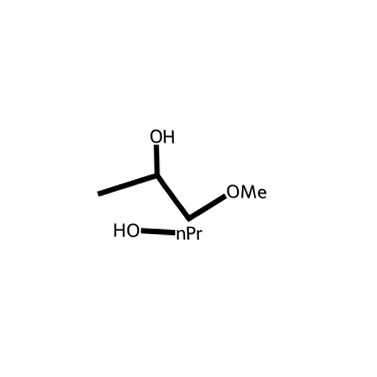 CCCO.COCC(C)O